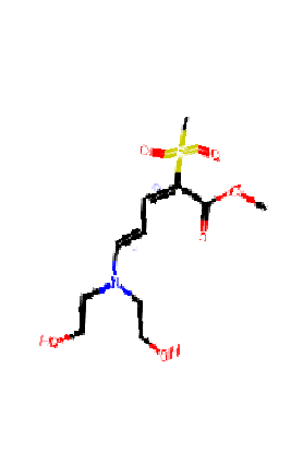 COC(=O)/C(=C\C=C\N(CCO)CCO)S(C)(=O)=O